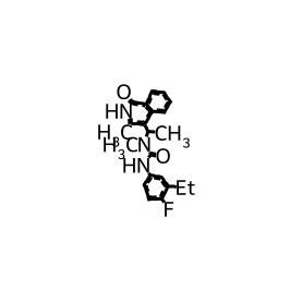 CCc1cc(NC(=O)N(C)C(C)c2c(C)[nH]c(=O)c3ccccc23)ccc1F